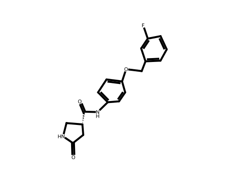 O=C1C[C@@H](C(=O)Nc2ccc(OCc3cccc(F)c3)cc2)CN1